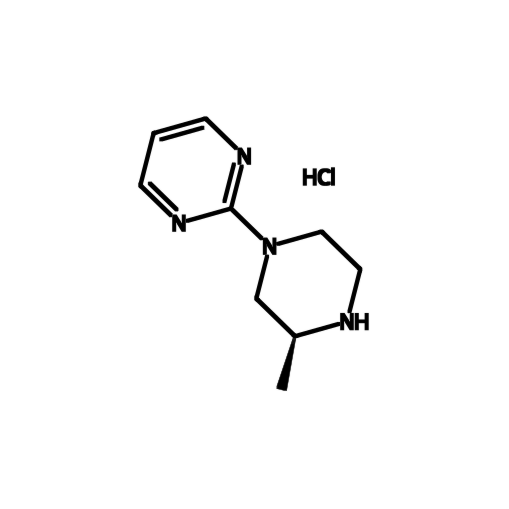 C[C@H]1CN(c2ncccn2)CCN1.Cl